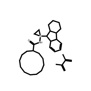 C=C(C)C(=C)C.O=C([NH][Ti]1([CH]2C3C=CC=CC3C3CCCCC32)[CH2][CH2]1)C1CCCCCCCCCCC1